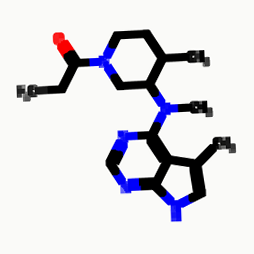 Cc1c[nH]c2ncnc(N(C)C3CN(C(=O)CC(F)(F)F)CCC3C)c12